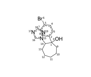 OC1(c2ccc(Br)cc2)CCCCCC1n1cncn1